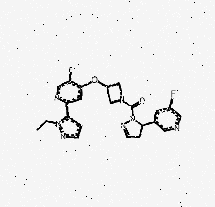 CCn1nccc1-c1cc(OC2CN(C(=O)N3N=CCC3c3cncc(F)c3)C2)c(F)cn1